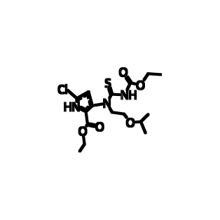 CCOC(=O)NC(=S)N(CCOC(C)C)c1cc(Cl)[nH]c1C(=O)OCC